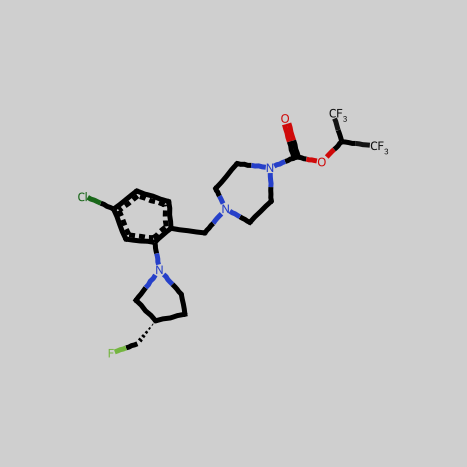 O=C(OC(C(F)(F)F)C(F)(F)F)N1CCN(Cc2ccc(Cl)cc2N2CC[C@H](CF)C2)CC1